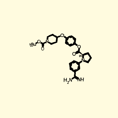 CC(C)(C)OC(=O)N1CCC(Oc2ccc(OC(=O)[C@H]3CCCN3c3cccc(C(=N)N)c3)cc2)CC1